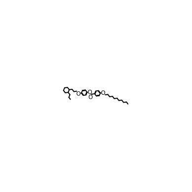 CCCCCCCCCCCOc1ccc(C(=O)Oc2ccc(OCCCC3CCCCC3CCC)cc2)cc1